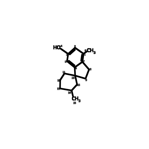 Cc1cc(O)cc2c1CCC21CCCC(C)C1